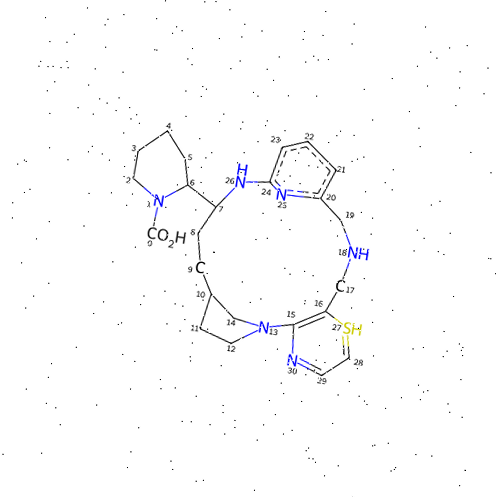 O=C(O)N1CCCCC1C1CCC2CCN(C2)C2=C(CNCc3cccc(n3)N1)[SH]=CC=N2